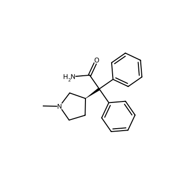 CN1CC[C@H](C(C(N)=O)(c2ccccc2)c2ccccc2)C1